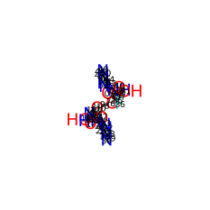 O=C(Nc1cc(OCCCCOc2cnc(C(=O)O)c(NC(=O)c3ccc(-n4ccnc4)nn3)c2)c(F)cc1C(=O)O)c1ccc(-n2ccnc2)nn1